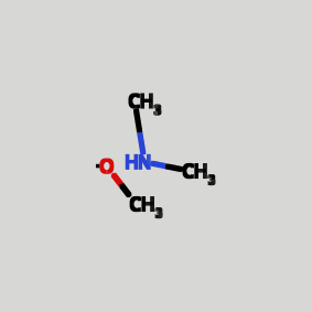 CNC.C[O]